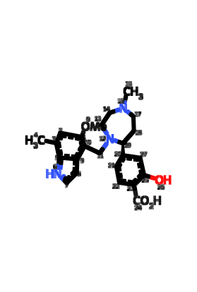 COc1cc(C)c2[nH]ccc2c1CN1CCN(C)CC[C@H]1c1ccc(C(=O)O)c(O)c1